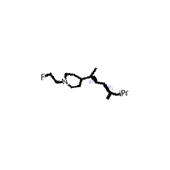 C/C(=C\C=C(/C)C1CCN(CCF)CC1)C(C)C